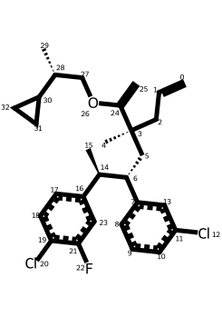 C=CC[C@@](C)(C[C@H](c1cccc(Cl)c1)[C@H](C)c1ccc(Cl)c(F)c1)C(=C)OC[C@@H](C)C1CC1